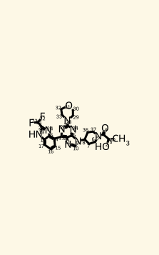 C[C@@H](O)C(=O)N1CCC(n2cnc3c(-c4cccc5[nH]c(C(F)F)nc45)nc(N4CCOCC4)nc32)CC1